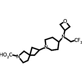 O=C(O)N1CCC2(CC(N3CCC(N(CC(F)(F)F)C4COC4)CC3)C2)C1